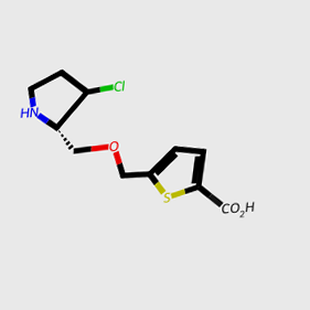 O=C(O)c1ccc(COC[C@@H]2NCCC2Cl)s1